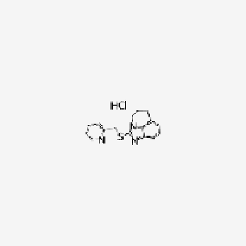 Cl.c1ccc(CSc2nc3cccc4c3n2CCC4)nc1